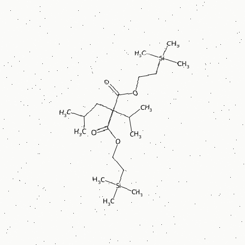 CC(C)CC(C(=O)OCC[Si](C)(C)C)(C(=O)OCC[Si](C)(C)C)C(C)C